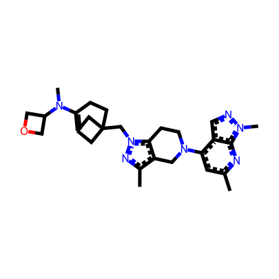 Cc1cc(N2CCc3c(c(C)nn3CC34CCC(N(C)C5COC5)=C(C3)C4)C2)c2cnn(C)c2n1